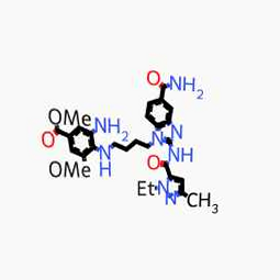 CCn1nc(C)cc1C(=O)Nc1nc2cc(C(N)=O)ccc2n1CCCCNc1c(N)cc(C(=O)OC)cc1OC